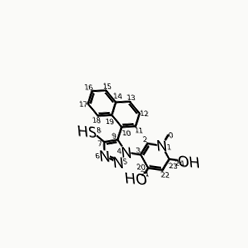 CN1C=C(n2nnc(S)c2-c2cccc3ccccc23)C(O)=CC1O